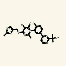 Cc1nc(COc2nc(C)n(-c3cc(-c4ccnc(C(C)(C)O)n4)ccc3Cl)c(=O)c2Br)co1